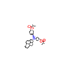 C=C(C)C(=O)OCc1ccc(N(c2ccc(COC(=O)C(=C)C)cc2)c2cc3ccc4cccc5ccc(c2)c3c45)cc1